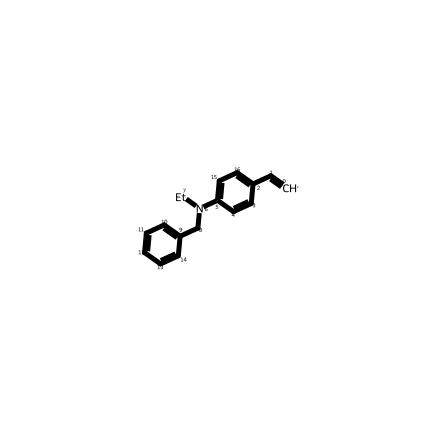 [CH]=Cc1ccc(N(CC)Cc2ccccc2)cc1